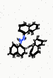 c1ccc2c(N=Nc3cccc4ccccc34)cccc2c1.c1ccc2ccccc2c1